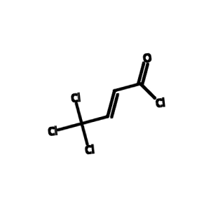 O=C(Cl)C=CC(Cl)(Cl)Cl